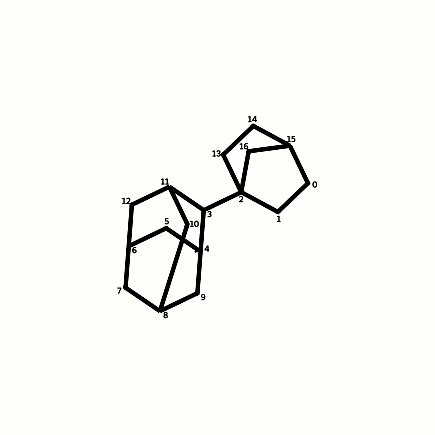 C1CC2(C3[C]4CC5CC(C4)CC3C5)CCC1C2